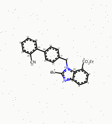 CCOC(=O)c1cccc2nc(C(C)CC)n(Cc3ccc(-c4ccccc4C#N)cc3)c12